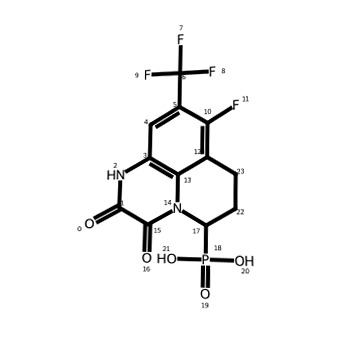 O=c1[nH]c2cc(C(F)(F)F)c(F)c3c2n(c1=O)C(P(=O)(O)O)CC3